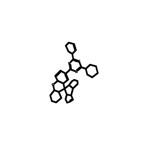 C1=CC(c2nc(C3=CC4C(C=C3)OC3CCCCC3C43C4CCC=CC4C4CCCCC43)nc(C3CCCCC3)n2)CCC1